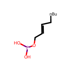 CCCCCC=CCOP(O)O